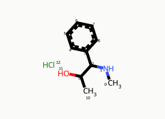 CNC(c1ccccc1)C(C)O.Cl